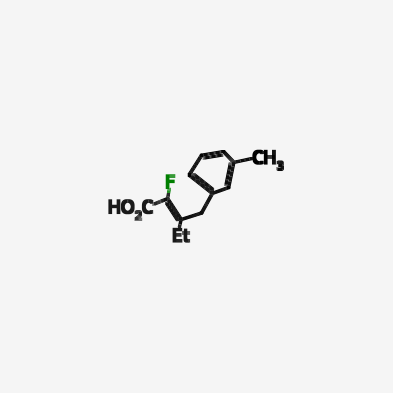 CCC(Cc1cccc(C)c1)=C(F)C(=O)O